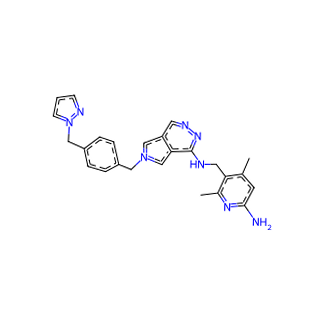 Cc1cc(N)nc(C)c1CNc1nncc2cn(Cc3ccc(Cn4cccn4)cc3)cc12